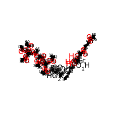 C=C(C)C(=O)O.C=C(C)C(=O)O.C=C(C)C(=O)O.C=C(C)C(=O)OCC(COC(=O)C(=C)C)(COC(=O)C(=C)C)COC(=O)C(=C)C.C=C(C)C(=O)OCCCCOC(=O)C(=C)C.C=CC(=O)O.C=CC(=O)O.C=CC(=O)O.C=CC(=O)OCC(COC(=O)C=C)(COC(=O)C=C)COC(=O)C=C.CCC.CCC(CO)(CO)CO